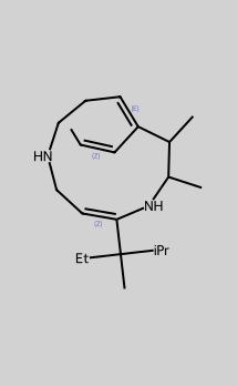 C/C=C\C1=C/CCNC/C=C(/C(C)(CC)C(C)C)NC(C)C1C